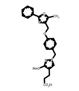 CCOC(=O)CCc1cn(Cc2ccc(OCc3nc(-c4ccccc4)oc3C)cc2)nc1OC